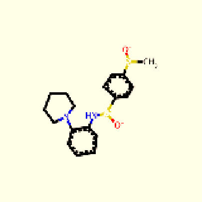 C[S+]([O-])c1ccc([S+]([O-])Nc2ccccc2N2CCCCC2)cc1